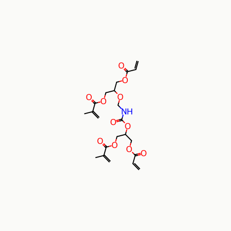 C=CC(=O)OCC(COC(=O)C(=C)C)OCNC(=O)OC(COC(=O)C=C)COC(=O)C(=C)C